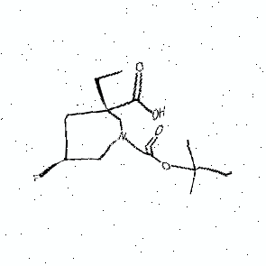 CC[C@]1(C(=O)O)C[C@H](F)CN1C(=O)OC(C)(C)C